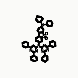 O=S1(=O)c2cc(N(c3ccccc3)c3ccccc3)ccc2-c2ccc(N(c3cc(-c4ccccc4)nc(-c4ccccc4)n3)c3nc(-c4ccccc4)nc(-c4ccccc4)n3)cc21